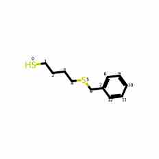 SCCCCSCc1ccccc1